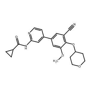 COc1cc(-c2ccnc(NC(=O)C3CC3)c2)cc(C#N)c1OC1CCOCC1